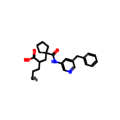 CCCC(CC1(C(=O)Nc2cncc(Cc3ccccc3)c2)CCCC1)C(=O)O